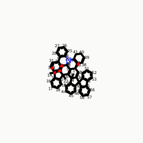 CC12C=C3C(C)(C4=C1C(C)(C=C1C(C)(C)c5ccccc5C14C)N(c1ccccc1-c1c#cccc1)C1=C2C=CCC1)c1ccccc1C31c2ccccc2-c2ccccc21